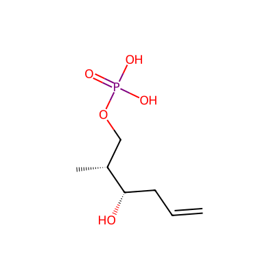 C=CC[C@H](O)[C@H](C)COP(=O)(O)O